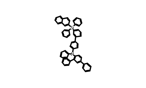 c1ccc(-c2ccc(N(c3ccccc3)c3ccc(-c4cccc([Si](c5ccccc5)(c5ccccc5)c5ccc6ccccc6c5)c4)cc3)c(-c3ccccc3)c2)cc1